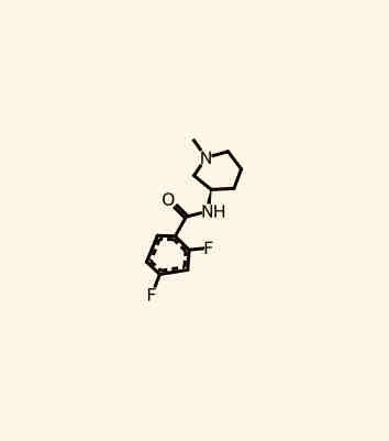 CN1CCC[C@@H](NC(=O)c2ccc(F)cc2F)C1